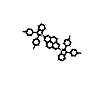 Cc1ccc(-c2c(-c3ccc(C)cc3)n(-c3cc4ccc5cc(-n6c(-c7ccc(C)cc7)c(-c7ccc(C)cc7)c7ccccc76)cc6ccc(c3)c4c56)c3ccccc23)cc1